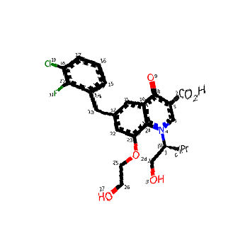 CC(C)[C@@H](CO)n1cc(C(=O)O)c(=O)c2cc(Cc3cccc(Cl)c3F)cc(OCCO)c21